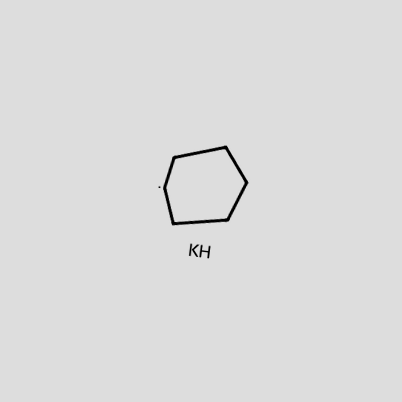 [CH]1CCCCC1.[KH]